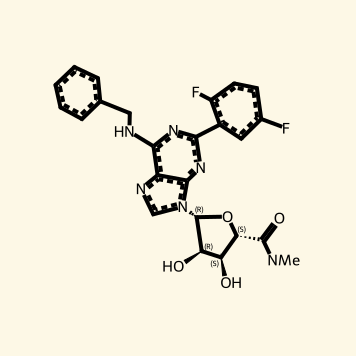 CNC(=O)[C@H]1O[C@@H](n2cnc3c(NCc4ccccc4)nc(-c4cc(F)ccc4F)nc32)[C@H](O)[C@@H]1O